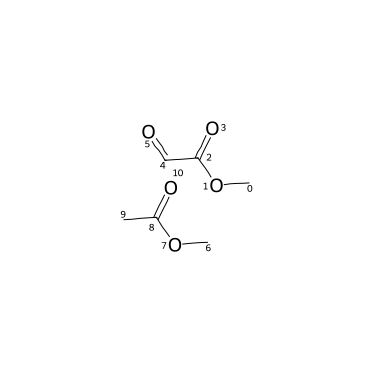 COC(=O)C=O.COC(C)=O